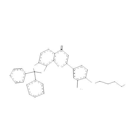 COc1cc(-c2cc(=O)c3ccc4c(c3o2)OC(c2ccccc2)(c2ccccc2)O4)ccc1OCCCCO